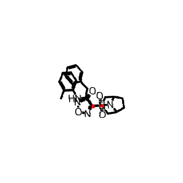 Cc1ccccc1NC(=O)CN1CC2CCC(C1)N2S(=O)(=O)c1nonc1Cc1ccccc1